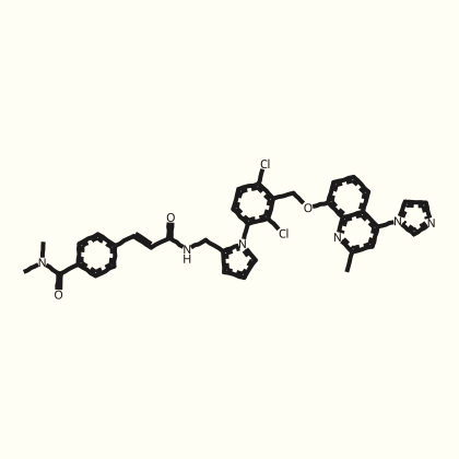 Cc1cc(-n2ccnc2)c2cccc(OCc3c(Cl)ccc(-n4cccc4CNC(=O)C=Cc4ccc(C(=O)N(C)C)cc4)c3Cl)c2n1